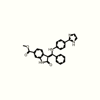 COC(=O)c1ccc2c(c1)NC(=O)C2=C(Nc1ccc(-c2ncc[nH]2)cc1)c1ccccc1